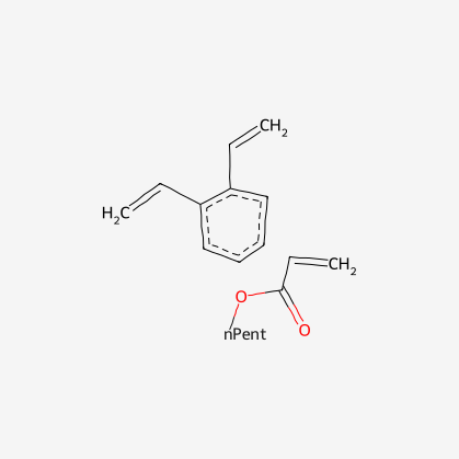 C=CC(=O)OCCCCC.C=Cc1ccccc1C=C